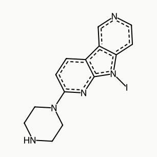 In1c2ccncc2c2ccc(N3CCNCC3)nc21